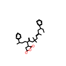 C=C(CC(C)(C)C/C=C(\C)CC(CC)c1ccccc1)C(CCC(C)c1ccccc1)C1CC(=O)OC1=O